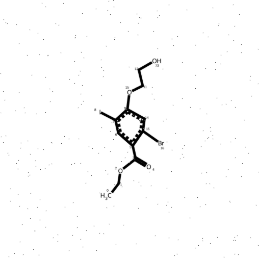 CCOC(=O)c1cc(I)c(OCCO)cc1Br